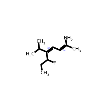 CCC(F)/C(=C\C=C(\C)N)C(C)C